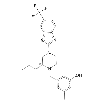 CCC[C@@H]1CN(c2nc3ccc(C(F)(F)F)cc3s2)CCN1Cc1cc(C)cc(O)c1